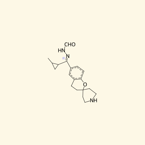 CC1CC1/C(=N\NC=O)c1ccc2c(c1)CCC1(CCNCC1)O2